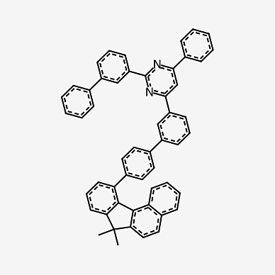 CC1(C)c2cccc(-c3ccc(-c4cccc(-c5cc(-c6ccccc6)nc(-c6cccc(-c7ccccc7)c6)n5)c4)cc3)c2-c2c1ccc1ccccc21